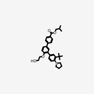 CC(C)COC(=O)c1ccc(-c2ccc(OCCO)c(-c3ccc(N4CCCC4)c(C(C)(C)C)c3)c2)cc1